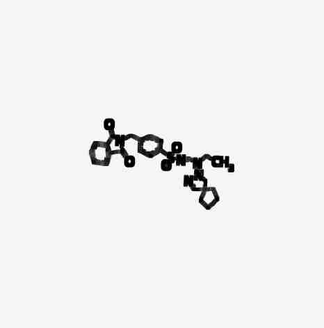 CCN(C=NS(=O)(=O)c1ccc(CN2C(=O)c3ccccc3C2=O)cc1)N1CC2(C=N1)CCCC2